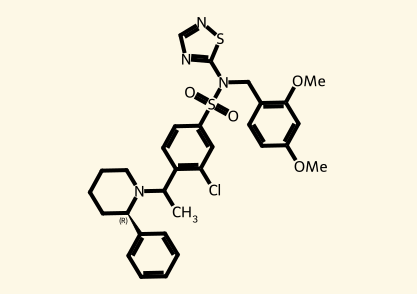 COc1ccc(CN(c2ncns2)S(=O)(=O)c2ccc(C(C)N3CCCC[C@@H]3c3ccccc3)c(Cl)c2)c(OC)c1